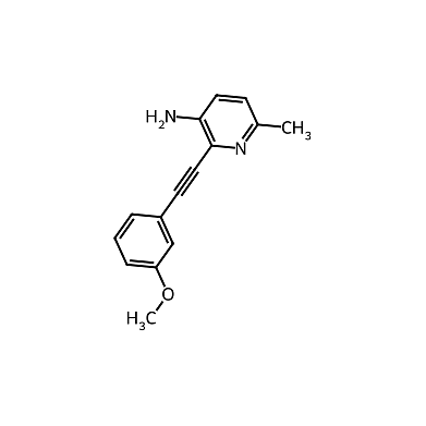 COc1cccc(C#Cc2nc(C)ccc2N)c1